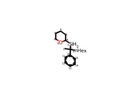 CCCCCCC(C)([SiH2]C1CCCCO1)c1ccccc1